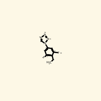 CCc1c(F)cc(-n2cnnn2)cc1F